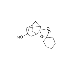 OC12CC3CC(C1)C1(OOC4(CCCCC4)O1)C(C3)C2